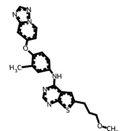 COCCCc1cc2c(Nc3ccc(Oc4ccn5ncnc5c4)c(C)c3)ncnc2s1